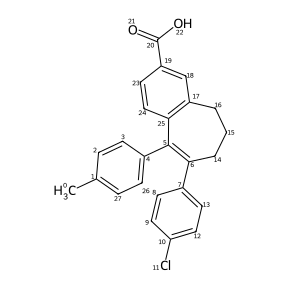 Cc1ccc(C2=C(c3ccc(Cl)cc3)CCCc3cc(C(=O)O)ccc32)cc1